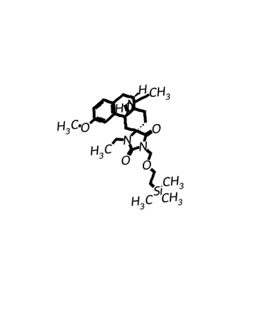 CCN1C(=O)N(COCC[Si](C)(C)C)C(=O)[C@@]12CC[C@@]1(O)[C@H]3Cc4ccc(OC)cc4[C@@]1(CCN3C)C2